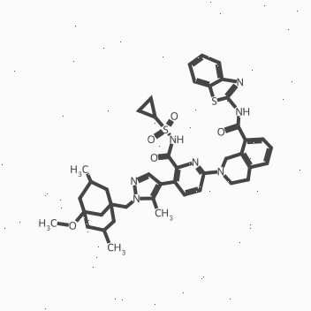 COC12CC(C)CC(Cn3ncc(-c4ccc(N5CCc6cccc(C(=O)Nc7nc8ccccc8s7)c6C5)nc4C(=O)NS(=O)(=O)C4CC4)c3C)(CC(C)C1)C2